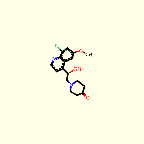 COc1cc(F)c2nccc([C@@H](O)CN3CCC(=O)CC3)c2c1